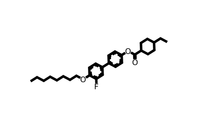 CCCCCCCCOc1ccc(-c2ccc(OC(=O)C3CCC(CC)CC3)cc2)cc1F